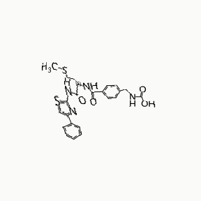 CSCC[C@H](NC(=O)c1ccc(CNC(=O)O)cc1)C(=O)Nc1nc(-c2ccccc2)cs1